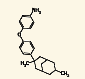 CC1CC2CC(C1)CC(C)(c1ccc(Oc3ccc(N)cc3)cc1)C2